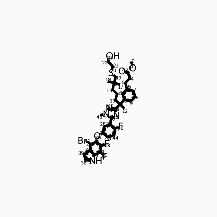 COC(=O)CCc1cccc(C(C)(CCCC(C)(C)CSCCO)c2nc(-c3cc(Oc4c(F)c(F)c5[nH]ccc5c4Br)ccc3F)n(C)n2)c1